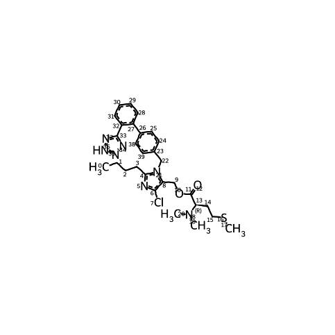 CCCCc1nc(Cl)c(COC(=O)[C@@H](CCSC)N(C)C)n1Cc1ccc(-c2ccccc2-c2nn[nH]n2)cc1